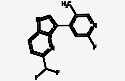 Cc1cnc(F)cc1-c1cnc2ccc(C(F)F)nn12